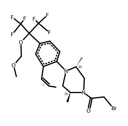 C/C=C\c1cc(C(OCOC)(C(F)(F)F)C(F)(F)F)ccc1N1C[C@H](C)N(C(=O)CBr)C[C@H]1C